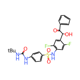 CC(C)(C)NC(=O)Nc1ccc(S(=O)(=O)Nc2cc(F)c(C(O)C(=O)c3ccccc3)cc2F)cc1